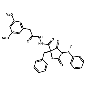 COc1cc(CC(=O)NNC(=O)[C@@]2(Cc3ccccc3)OC(=O)N([C@H](C)c3ccccc3)C2=O)cc(OC)c1